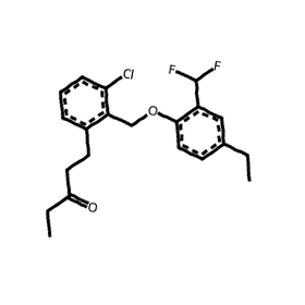 CCC(=O)CCc1cccc(Cl)c1COc1ccc(CC)cc1C(F)F